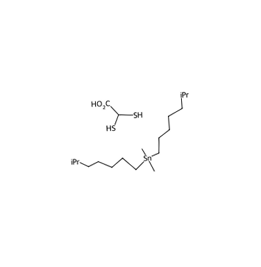 CC(C)CCCC[CH2][Sn]([CH3])([CH3])[CH2]CCCCC(C)C.O=C(O)C(S)S